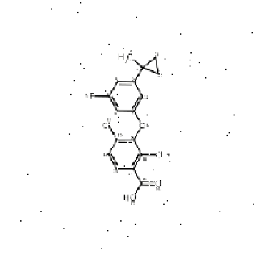 CC1(c2cc(F)cc(Oc3c(Cl)ccc(C(=O)O)c3Cl)c2)CC1